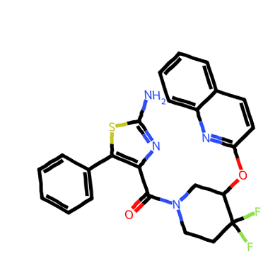 Nc1nc(C(=O)N2CCC(F)(F)C(Oc3ccc4ccccc4n3)C2)c(-c2ccccc2)s1